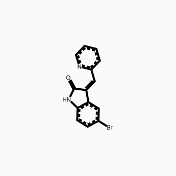 O=C1Nc2ccc(Br)cc2C1=Cc1ccccn1